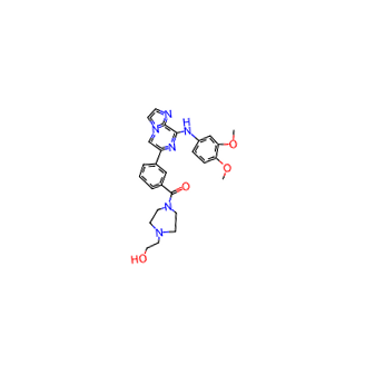 COc1ccc(Nc2nc(-c3cccc(C(=O)N4CCN(CCO)CC4)c3)cn3ccnc23)cc1OC